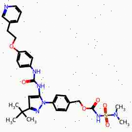 CN(C)S(=O)(=O)NC(=O)OCc1ccc(-n2nc(C(C)(C)C)cc2NC(=O)Nc2ccc(OCCc3cccnc3)cc2)cc1